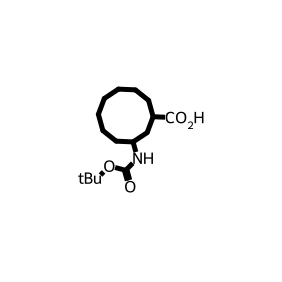 CC(C)(C)OC(=O)NC1CCCCCCCC(C(=O)O)C1